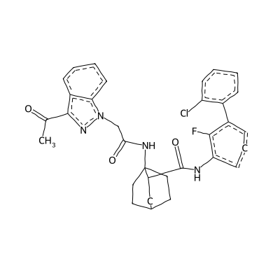 CC(=O)c1nn(CC(=O)NC23CCC(CC2)CC3C(=O)Nc2cccc(-c3ccccc3Cl)c2F)c2ccccc12